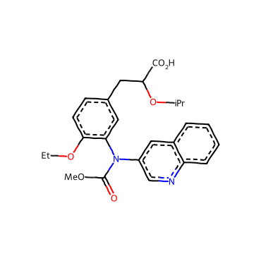 CCOc1ccc(CC(OC(C)C)C(=O)O)cc1N(C(=O)OC)c1cnc2ccccc2c1